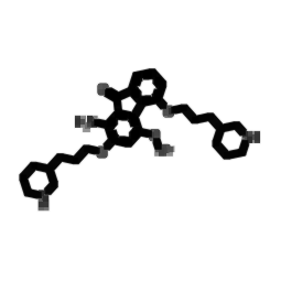 CCCOc1cc(OCCCC2CCCNC2)c(N)c2c1-c1c(OCCCC3CCCNC3)cccc1C2=O